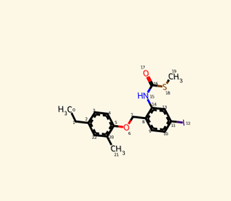 CCc1ccc(OCc2ccc(I)cc2NC(=O)SC)c(C)c1